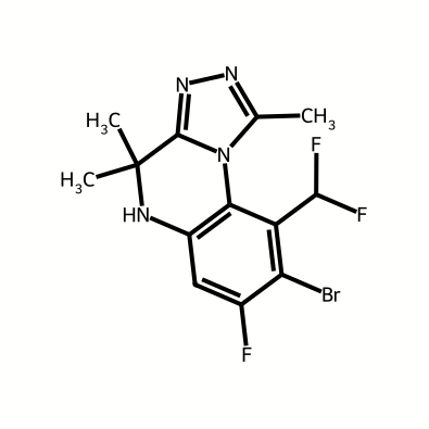 Cc1nnc2n1-c1c(cc(F)c(Br)c1C(F)F)NC2(C)C